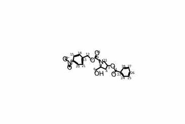 O=C(OC1CC(CO)N(C(=O)OCc2ccc([N+](=O)[O-])cc2)C1)c1ccccc1